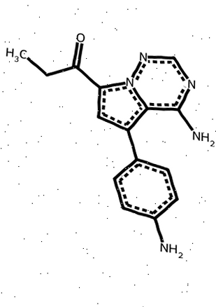 CCC(=O)c1cc(-c2ccc(N)cc2)c2c(N)ncnn12